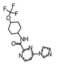 O=C(NC1CCC(OC(F)(F)F)CC1)c1nccc(-n2ccnc2)n1